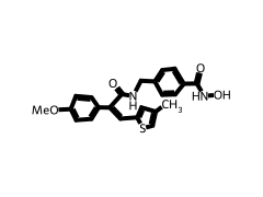 COc1ccc(C(=Cc2cc(C)cs2)C(=O)NCc2ccc(C(=O)NO)cc2)cc1